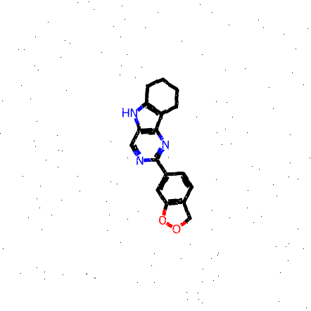 c1cc2c(cc1-c1ncc3[nH]c4c(c3n1)CCCC4)OOC2